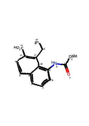 COC(=O)Nc1cccc2ccc(C(=O)O)c(CC(C)C)c12